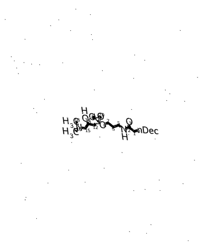 CCCCCCCCCCCC(=O)NCCCOS(=O)(=O)CC(O)CN(C)C